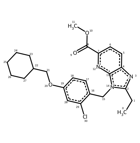 CCc1nc2ccc(C(=O)OC)nc2n1Cc1ccc(OCC2CCCCC2)cc1Cl